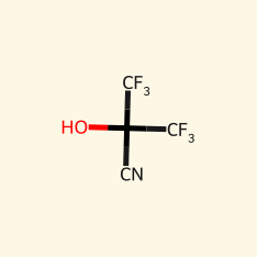 N#CC(O)(C(F)(F)F)C(F)(F)F